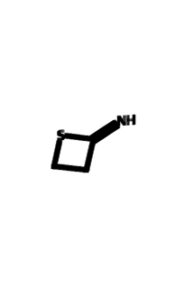 N=C1CCS1